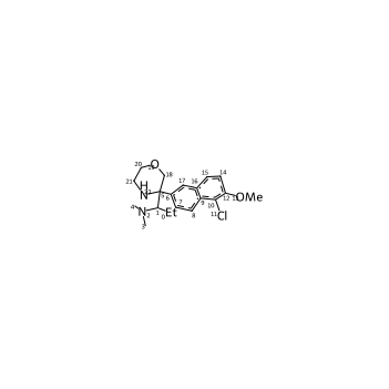 CCC(N(C)C)C1(c2ccc3c(Cl)c(OC)ccc3c2)COCCN1